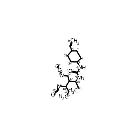 C=CC1CCC(NC(=O)NC(CC)C(CN=C=O)C(CC)N=C=O)CC1